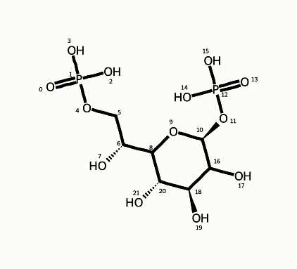 O=P(O)(O)OC[C@@H](O)C1O[C@@H](OP(=O)(O)O)C(O)[C@@H](O)[C@@H]1O